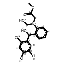 COC(=O)CN(CO)c1ccccc1C(O)c1nc(Cl)c(Cl)cc1Cl